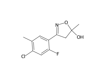 Cc1cc(C2=NOC(C)(O)C2)c(F)cc1Cl